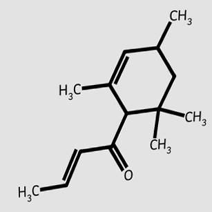 CC=CC(=O)C1C(C)=CC(C)CC1(C)C